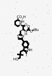 CC(C)(CO)Cc1c(I)[nH]c2ccc(-c3csc(C[C@H](NC(=O)OC(C)(C)C)C(=O)N4CCC[C@@H](C(=O)O)N4)n3)cc12